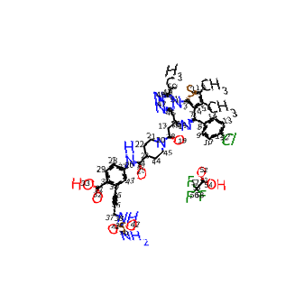 Cc1sc2c(c1C)C(c1ccc(Cl)cc1)=N[C@@H](CC(=O)N1CCC(C(=O)Nc3ccc(C(=O)O)c(C#CCNS(N)(=O)=O)c3)CC1)c1nnc(C)n1-2.O=C(O)C(F)(F)F